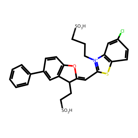 O=S(=O)(O)CCC[n+]1c(C=C2Oc3ccc(-c4ccccc4)cc3C2CCS(=O)(=O)O)sc2ccc(Cl)cc21